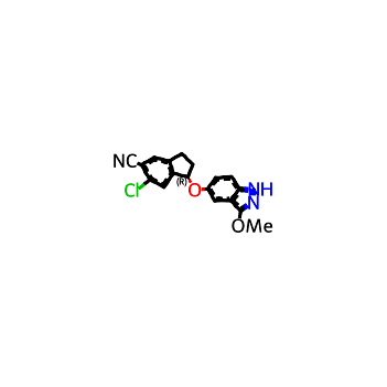 COc1n[nH]c2ccc(O[C@@H]3CCc4cc(C#N)c(Cl)cc43)cc12